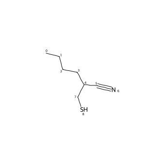 CCCCC(C#N)CS